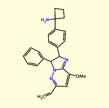 C=CC1=NN2C(=NC(c3ccc(C4(N)CCC4)cc3)C2c2ccccc2)C(OC)=C1